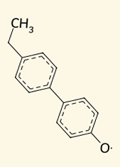 CCc1ccc(-c2ccc([O])cc2)cc1